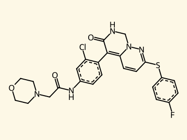 O=C(CN1CCOCC1)Nc1ccc(C2=C3C=CC(Sc4ccc(F)cc4)=NN3CNC2=O)c(Cl)c1